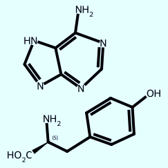 N[C@@H](Cc1ccc(O)cc1)C(=O)O.Nc1ncnc2nc[nH]c12